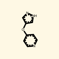 c1cc(Oc2cn[nH]c2)ccn1